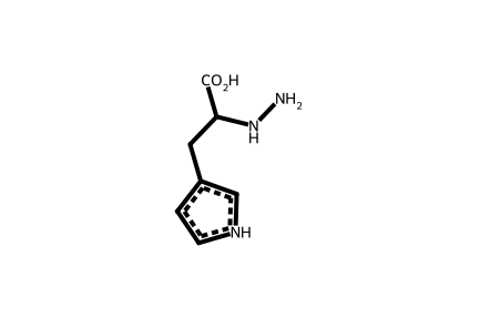 NNC(Cc1cc[nH]c1)C(=O)O